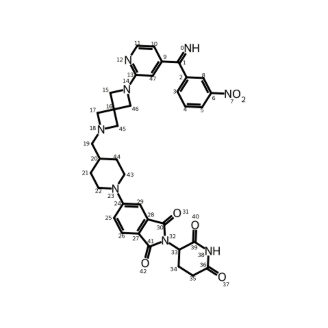 N=C(c1cccc([N+](=O)[O-])c1)c1ccnc(N2CC3(CN(CC4CCN(c5ccc6c(c5)C(=O)N(C5CCC(=O)NC5=O)C6=O)CC4)C3)C2)c1